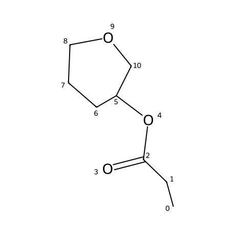 CCC(=O)OC1CCCOC1